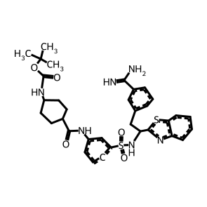 CC(C)(C)OC(=O)NC1CCC(C(=O)Nc2cccc(S(=O)(=O)NC(Cc3cccc(C(=N)N)c3)c3nc4ccccc4s3)c2)CC1